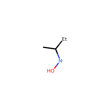 CCC(C)[N]O